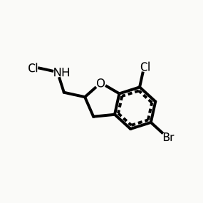 ClNCC1Cc2cc(Br)cc(Cl)c2O1